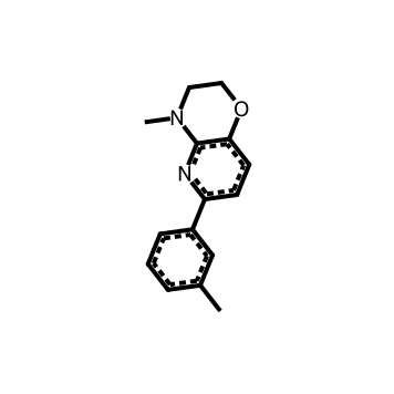 Cc1cccc(-c2ccc3c(n2)N(C)CCO3)c1